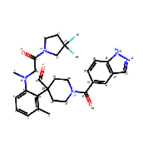 Cc1cccc(N(C)CC(=O)N2CCC(F)(F)C2)c1C1(C=O)CCN(C(=O)c2ccc3[nH]ncc3c2)CC1